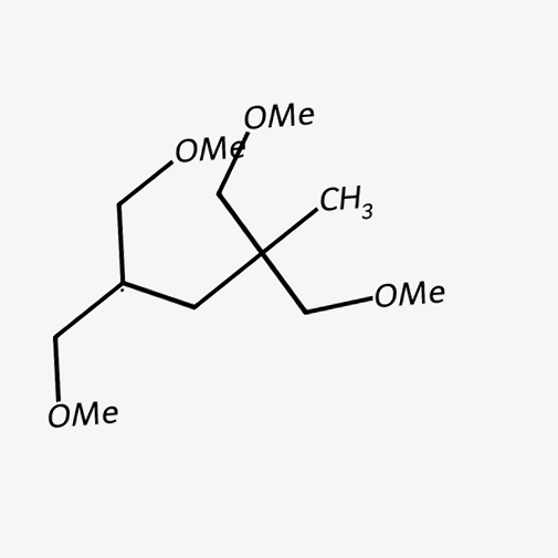 COC[C](COC)CC(C)(COC)COC